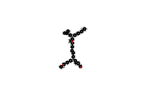 CC1c2cc(-c3ccc(-c4ccc5cc(-c6ccc(N(c7ccc(-c8ccc(-c9ccc%10c(c9)oc9ccccc9%10)cc8)cc7)c7ccc8c(c7)C(C)(C)c7cc(-c9ccccc9)ccc7-8)cc6)ccc5c4)cc3)ccc2-c2ccc(N(c3ccc(-c4ccc(-c5ccc6c(c5)oc5ccccc56)cc4)cc3)c3ccc(-c4cc5ccccc5c5ccccc45)cc3)cc2C1C